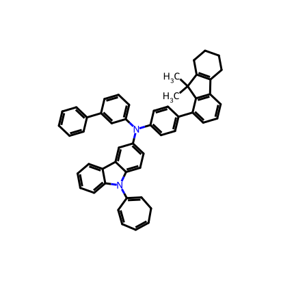 CC1(C)C2=C(CCCC2)c2cccc(-c3ccc(N(c4cccc(-c5ccccc5)c4)c4ccc5c(c4)c4ccccc4n5C4=CCC=CC=C4)cc3)c21